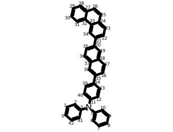 c1ccc(N(c2ccccc2)c2ccc(-c3ccc4cc(-c5ccc6ccc7ccccc7c6c5)ccc4c3)cc2)cc1